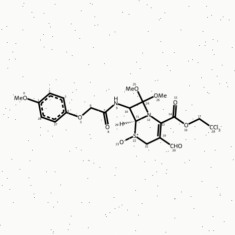 COc1ccc(OCC(=O)NC2[C@H]3N(C(C(=O)OCC(Cl)(Cl)Cl)=C(C=O)C[S+]3[O-])C2(OC)OC)cc1